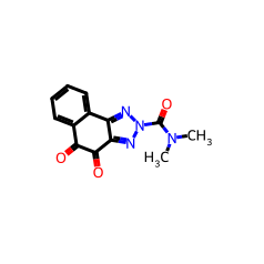 CN(C)C(=O)n1nc2c(n1)-c1ccccc1C(=O)C2=O